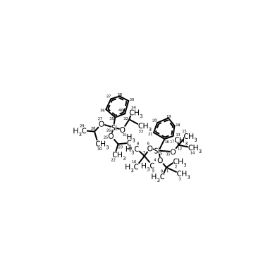 CC(C)(C)O[Si](OC(C)(C)C)(OC(C)(C)C)c1ccccc1.CC(C)O[Si](OC(C)C)(OC(C)C)c1ccccc1